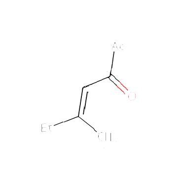 CCC(C)=CC(=O)C(C)=O